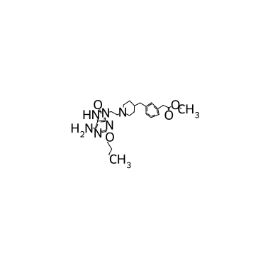 CCCCOc1nc(N)c2[nH]c(=O)n(CCN3CCC(Cc4cccc(CC(=O)OC)c4)CC3)c2n1